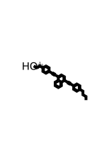 CCCCc1ccc(C#Cc2ccc(C#Cc3ccc([C@@H](C)CO)cc3)c3ccccc23)cc1